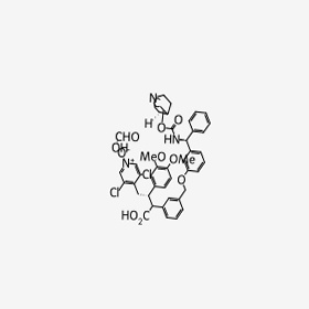 COc1ccc([C@@H](Cc2c(Cl)c[n+]([O-])cc2Cl)C(C(=O)O)c2cccc(COc3cccc([C@@H](NC(=O)O[C@H]4CN5CCC4CC5)c4ccccc4)c3)c2)cc1OC.O=CO